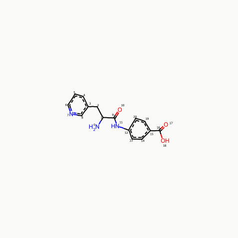 NC(Cc1cccnc1)C(=O)Nc1ccc(C(=O)O)cc1